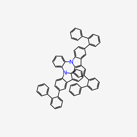 c1ccc(-c2ccccc2-c2ccc3c(c2)c2ccccc2n3-c2ccccc2-n2c3ccc(-c4ccccc4-c4ccccc4)cc3c3cc(-c4ccccc4-c4ccccc4)ccc32)cc1